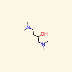 CN(C)CCC(O)CN(C)C